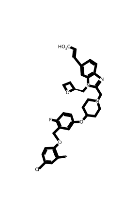 O=C(O)/C=C/c1ccc2nc(CN3CCC(Oc4ccc(F)c(COc5ccc(Cl)cc5F)c4)CC3)n(C[C@@H]3CCO3)c2c1